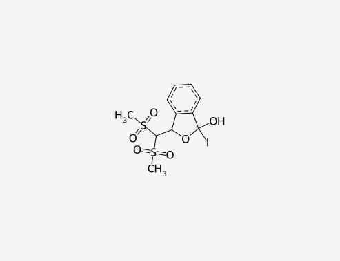 CS(=O)(=O)C(C1OC(O)(I)c2ccccc21)S(C)(=O)=O